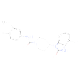 COc1cc(NC(=O)N2CCC(n3c(=O)[nH]c4c(Cl)cccc43)CC2)ccc1C